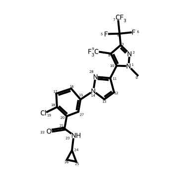 Cn1nc(C(F)(F)C(F)(F)F)c(C(F)(F)F)c1-c1ccn(-c2ccc(Cl)c(C(=O)NC3CC3)c2)n1